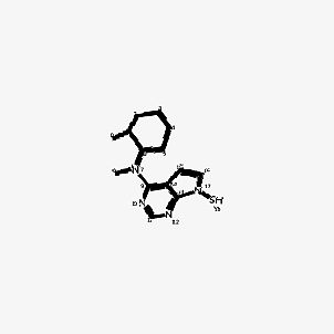 CC1CCCCC1N(C)c1ncnc2c1ccn2S